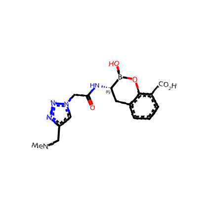 CNCc1cn(CC(=O)N[C@H]2Cc3cccc(C(=O)O)c3OB2O)nn1